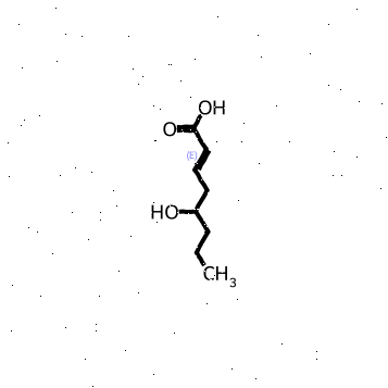 CCCC(O)C/C=C/C(=O)O